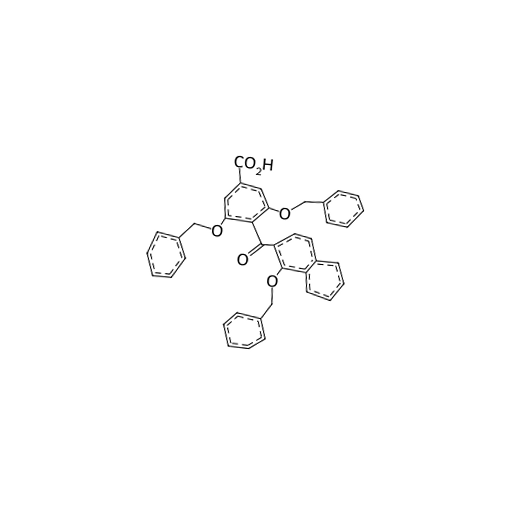 O=C(O)c1cc(OCc2ccccc2)c(C(=O)c2ccc3ccccc3c2OCc2ccccc2)c(OCc2ccccc2)c1